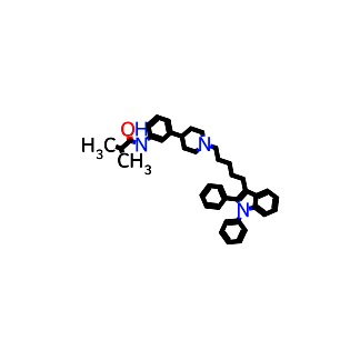 CC(C)C(=O)Nc1cccc(C2CCN(CCCCCc3c(-c4ccccc4)n(-c4ccccc4)c4ccccc34)CC2)c1